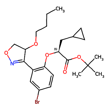 CCCCOC1CON=C1c1cc(Br)ccc1O[C@@H](CC1CC1)C(=O)OC(C)(C)C